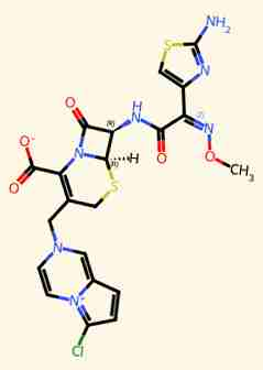 CO/N=C(\C(=O)N[C@@H]1C(=O)N2C(C(=O)[O-])=C(Cn3cc[n+]4c(Cl)ccc-4c3)CS[C@H]12)c1csc(N)n1